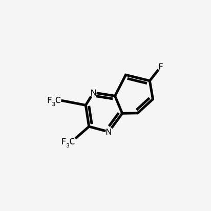 Fc1ccc2nc(C(F)(F)F)c(C(F)(F)F)nc2c1